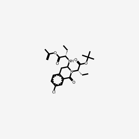 C=C(C)OC(=O)[C@H](CC)NC1Cc2ccc(Cl)cc2C(=O)N1[C@@H](CC)C(=O)OC(C)(C)C